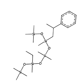 CC[Si](C)(O[Si](C)(C)C)O[Si](C)(C)O[Si](C)(CC(C)c1ccccc1)O[Si](C)(C)C